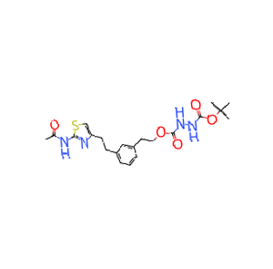 CC(=O)Nc1nc(CCc2cccc(CCOC(=O)NNC(=O)OC(C)(C)C)c2)cs1